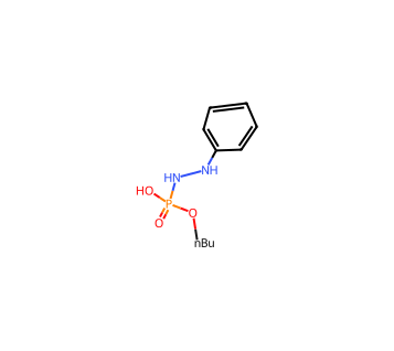 CCCCOP(=O)(O)NNc1ccccc1